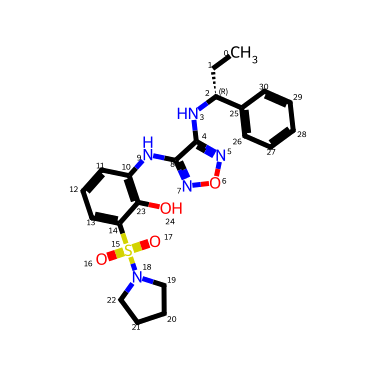 CC[C@@H](Nc1nonc1Nc1cccc(S(=O)(=O)N2CCCC2)c1O)c1ccccc1